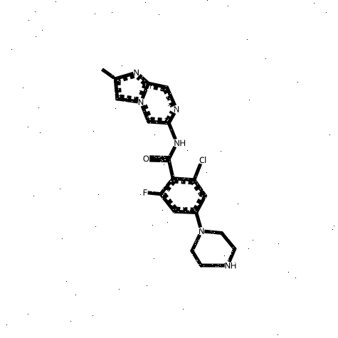 Cc1cn2cc(NC(=O)c3c(F)cc(N4CCNCC4)cc3Cl)ncc2n1